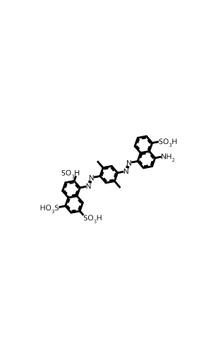 Cc1cc(N=Nc2ccc(N)c3c(S(=O)(=O)O)cccc23)c(C)cc1N=Nc1c(S(=O)(=O)O)ccc2c(S(=O)(=O)O)cc(S(=O)(=O)O)cc12